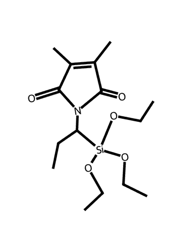 CCO[Si](OCC)(OCC)C(CC)N1C(=O)C(C)=C(C)C1=O